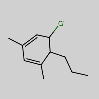 CCCC1C(C)=CC(C)=CC1Cl